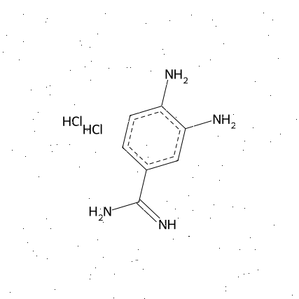 Cl.Cl.N=C(N)c1ccc(N)c(N)c1